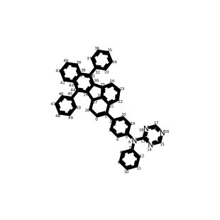 C1=C(c2ccc(N(c3ccccc3)c3ncncn3)cc2)c2cccc3c2C(C1)c1c-3c(-c2ccccc2)c2ccccc2c1-c1ccccc1